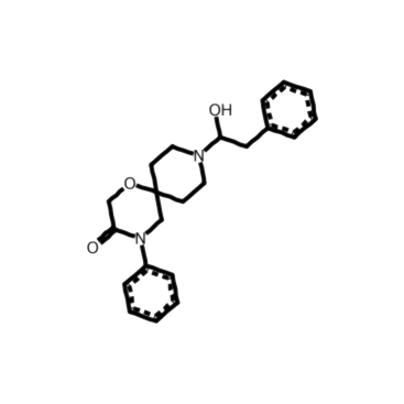 O=C1COC2(CCN(C(O)Cc3ccccc3)CC2)CN1c1ccccc1